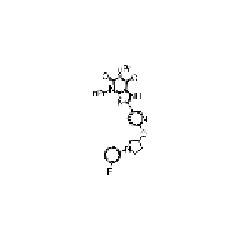 CCCn1c(=O)c2[nH]c(-c3ccc(OC4CCN(c5cccc(F)c5)C4)nc3)nc2n(CCC)c1=O